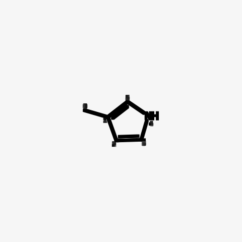 Cc1c[c][nH]c1